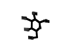 CCCCC1SC(CO)C(O)C(O)C1O